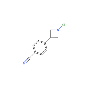 N#Cc1ccc(C2CN(Cl)C2)cc1